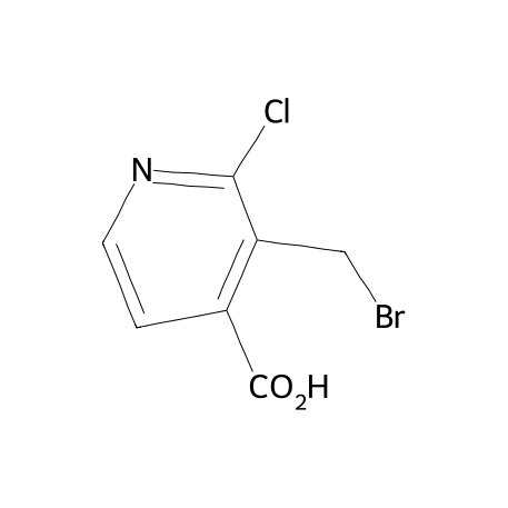 O=C(O)c1ccnc(Cl)c1CBr